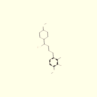 CCCOC1CCC(C(CCC)CCCc2ccc(OCC)c(F)c2F)CC1